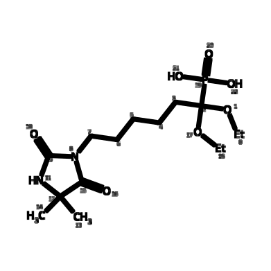 CCOC(CCCCCN1C(=O)NC(C)(C)C1=O)(OCC)P(=O)(O)O